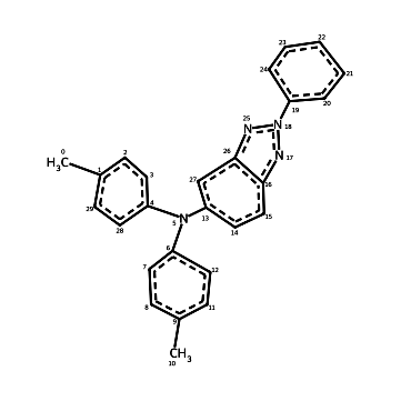 Cc1ccc(N(c2ccc(C)cc2)c2ccc3nn(-c4ccccc4)nc3c2)cc1